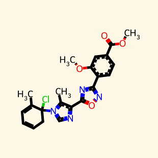 COC(=O)c1ccc(-c2noc(-c3ncn(C4(Cl)CC=CC=C4C)c3C)n2)c(OC)c1